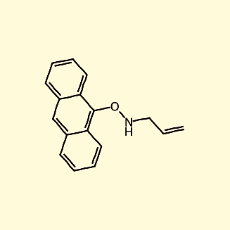 C=CCNOc1c2ccccc2cc2ccccc12